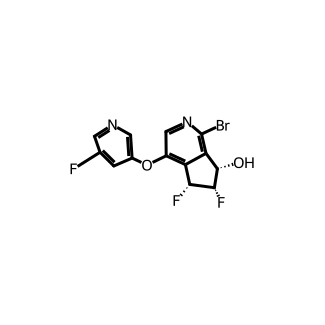 O[C@H]1c2c(Br)ncc(Oc3cncc(F)c3)c2[C@@H](F)[C@H]1F